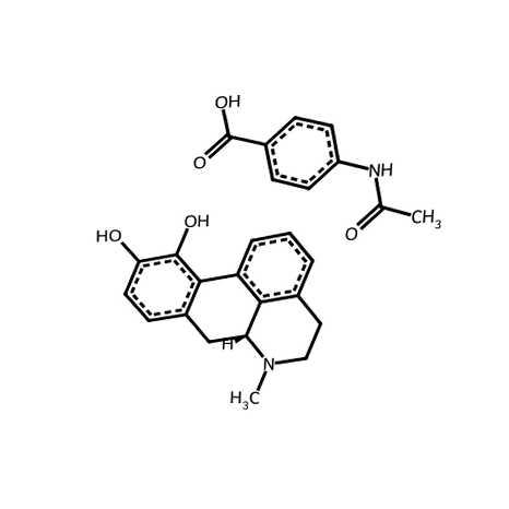 CC(=O)Nc1ccc(C(=O)O)cc1.CN1CCc2cccc3c2[C@H]1Cc1ccc(O)c(O)c1-3